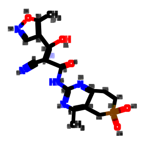 Cc1nc(NC(=O)/C(C#N)=C(\O)c2cnoc2C)nc2c1CS(=O)(=O)CC2